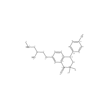 CNCC(O)COc1ccc2c(c1)C(=O)C(C)(C)CC2c1ccc(Cl)cc1